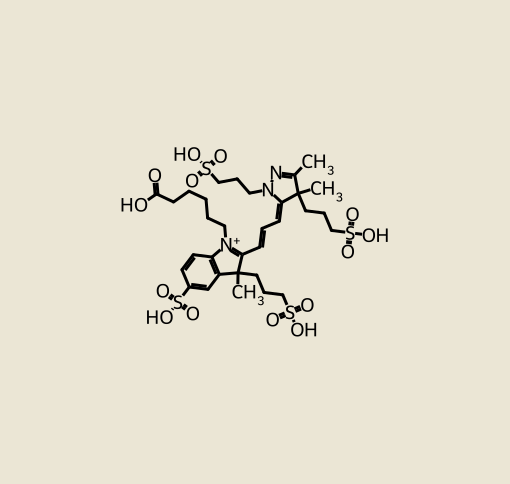 CC1=NN(CCCS(=O)(=O)O)/C(=C\C=C\C2=[N+](CCCCCC(=O)O)c3ccc(S(=O)(=O)O)cc3C2(C)CCCS(=O)(=O)O)C1(C)CCCS(=O)(=O)O